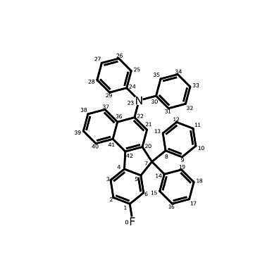 Fc1ccc2c(c1)C(c1ccccc1)(c1ccccc1)c1cc(N(c3ccccc3)c3ccccc3)c3ccccc3c1-2